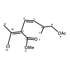 COC(=O)C(/C=C\C(C)COC(C)=O)=C(/C)Cl